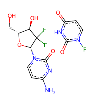 Nc1ccn([C@@H]2O[C@H](CO)[C@@H](O)C2(F)F)c(=O)n1.O=c1ccn(F)c(=O)[nH]1